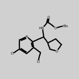 CC(C)(C)OC(=O)NC(c1ncc(Cl)cc1CCl)C1CCOC1